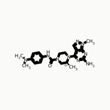 C[C@H]1CN(C(=O)Nc2ccc(N(C)C)cc2)CCN1c1nc(N)nc2c1cnn2C